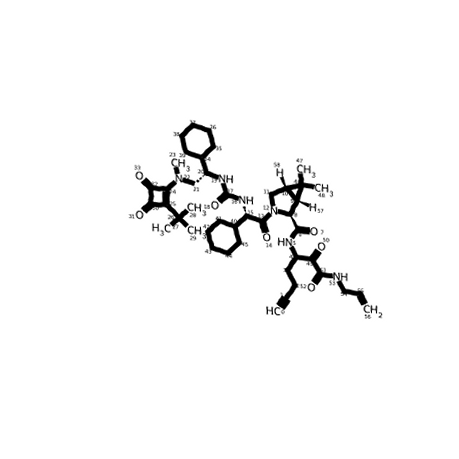 C#CCCC(NC(=O)[C@@H]1[C@@H]2[C@H](CN1C(=O)[C@@H](NC(=O)N[C@H](CN(C)c1c(C(C)(C)C)c(=O)c1=O)C1CCCCC1)C1CCCCC1)C2(C)C)C(=O)C(=O)NCC=C